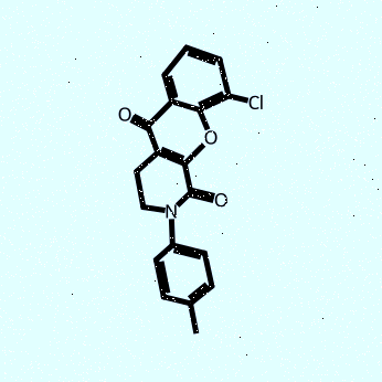 Cc1ccc(N2CCc3c(oc4c(Cl)cccc4c3=O)C2=O)cc1